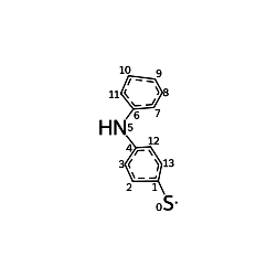 [S]c1ccc(Nc2ccccc2)cc1